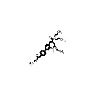 CCCN(CCC)C(=O)C1=Cc2ccc(-c3ccc(CC(=O)OCC)cc3)cc2NC(N=NN)C1